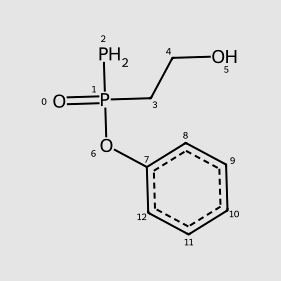 O=P(P)(CCO)Oc1ccccc1